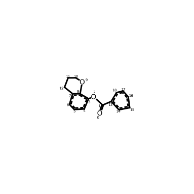 O=C(Oc1cccc2c1OCCC2)c1ccccc1